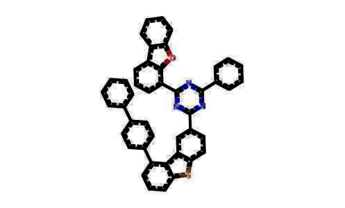 c1ccc(-c2ccc(-c3cccc4sc5ccc(-c6nc(-c7ccccc7)nc(-c7cccc8c7oc7ccccc78)n6)cc5c34)cc2)cc1